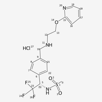 CS(=O)(=O)N[C@@H](c1ccc(CNCCOc2ccccn2)cc1)C(F)(F)F.Cl